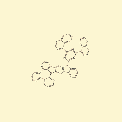 c1ccc2c(c1)-c1ccccc1-n1c3cc4c5ccccc5n(-c5nc(-c6cccc7ccccc67)nc(-c6cccc7ccccc67)n5)c4cc3c3cccc-2c31